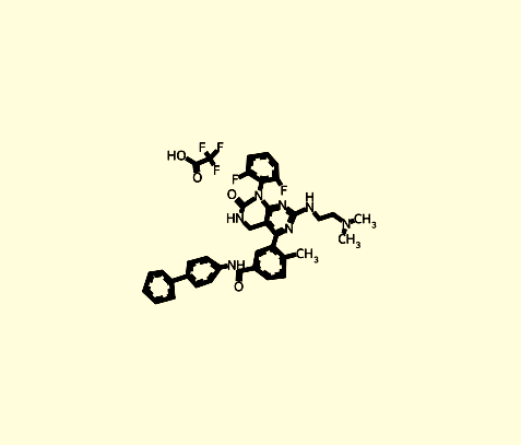 Cc1ccc(C(=O)Nc2ccc(-c3ccccc3)cc2)cc1-c1nc(NCCN(C)C)nc2c1CNC(=O)N2c1c(F)cccc1F.O=C(O)C(F)(F)F